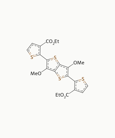 CCOC(=O)c1ccsc1-c1sc2c(OC)c(-c3sccc3C(=O)OCC)sc2c1OC